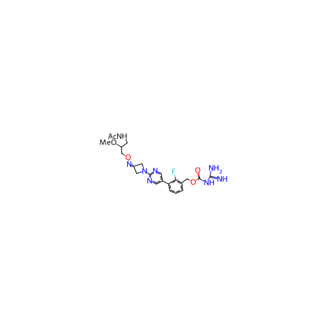 COC(CNC(C)=O)CON=C1CN(c2ncc(-c3cccc(COC(=O)NC(=N)N)c3F)cn2)C1